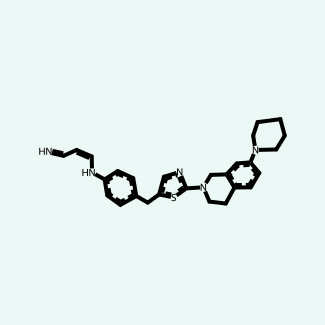 N=C/C=C\Nc1ccc(Cc2cnc(N3CCc4ccc(N5CCCCC5)cc4C3)s2)cc1